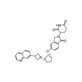 O=C1CCC(N2Cc3cc(O[C@@H]4CCC[C@@H]4N4CC(c5ccc6cccnc6c5)C4)ccc3C2=O)C(=O)N1